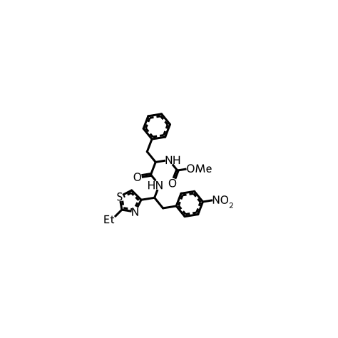 CCc1nc(C(Cc2ccc([N+](=O)[O-])cc2)NC(=O)C(Cc2ccccc2)NC(=O)OC)cs1